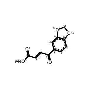 COC(=O)/C=C/C(=O)c1ccc2c(c1)OCO2